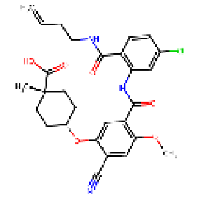 C=CCCNC(=O)c1ccc(Cl)cc1NC(=O)c1cc(O[C@H]2CC[C@@](C)(C(=O)O)CC2)c(C#N)cc1OC